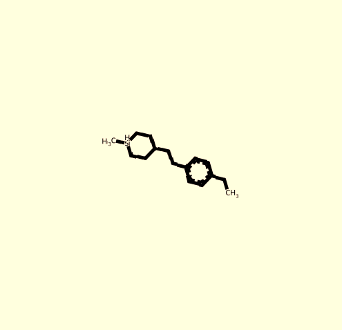 CCc1ccc(CCC2CC[SiH](C)CC2)cc1